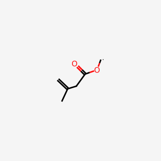 [CH2]OC(=O)CC(=C)C